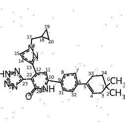 CC1(C)CC=C(c2ccc(-c3cc(-c4ccn(CC5CC5)n4)c(-c4nn[nH]n4)c(=O)[nH]3)cc2)CC1